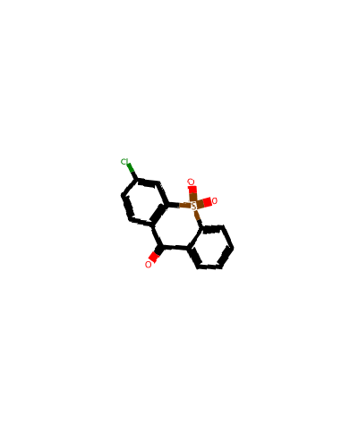 O=C1c2ccccc2S(=O)(=O)c2cc(Cl)ccc21